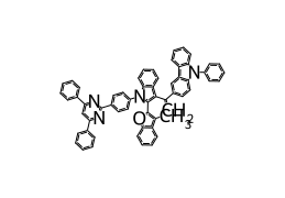 C=C(c1ccc2c(c1)c1ccccc1n2-c1ccccc1)c1c(-c2oc3ccccc3c2C)n(-c2ccc(-c3nc(-c4ccccc4)cc(-c4ccccc4)n3)cc2)c2ccccc12